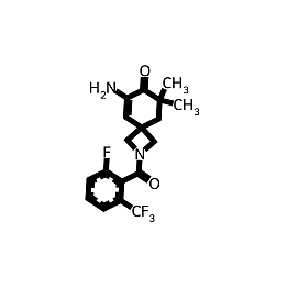 CC1(C)CC2(C=C(N)C1=O)CN(C(=O)c1c(F)cccc1C(F)(F)F)C2